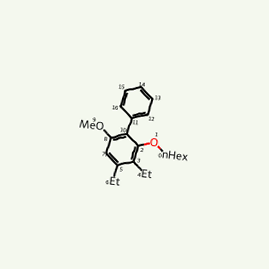 CCCCCCOc1c(CC)c(CC)[c]c(OC)c1-c1ccccc1